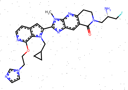 Cn1c(-c2cc3ccnc(OCCn4ccnc4)c3n2CC2CC2)nc2cc3c(nc21)CCN(C[C@H](N)CF)C3=O